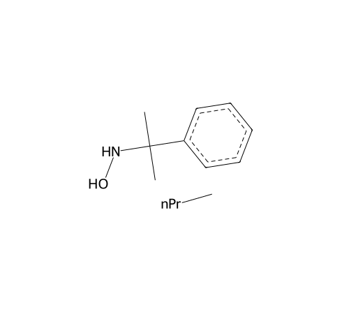 CC(C)(NO)c1ccccc1.CCCC